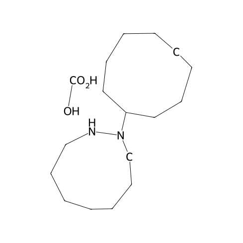 C1CCCCC(N2CCCCCCCN2)CCC1.O=C(O)O